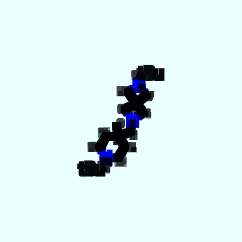 CC1(CN2CC3(C2)CN(C(C)(C)C)C3)CCN(C(C)(C)C)CC1